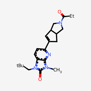 CCC(=O)N1CC2C=C(c3ccc4c(n3)n(C)c(=O)n4CC(C)(C)C)CC2C1